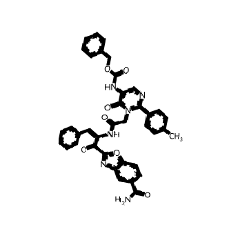 Cc1ccc(-c2ncc(NC(=O)OCc3ccccc3)c(=O)n2CC(=O)NC(=Cc2ccccc2)C(=O)c2nc3cc(C(N)=O)ccc3o2)cc1